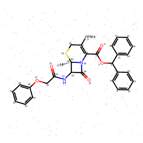 CCCCCCC1=C(C(=O)OC(c2ccccc2)c2ccccc2)N2C(=O)C(NC(=O)COc3ccccc3)[C@H]2SC1